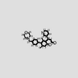 Cc1cc2oc(=O)cc(-c3cccnc3)c2c(C)c1-c1ccc(CN2CCOCC2)cc1